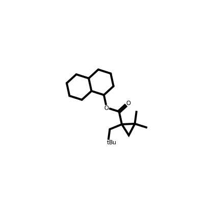 CC(C)(C)CC1(C(=O)OC2CCCC3CCCCC32)CC1(C)C